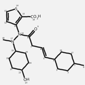 CC1CCC(C=CCC(=O)N(c2ccsc2C(=O)O)N(C)C2CCC(O)CC2)CC1